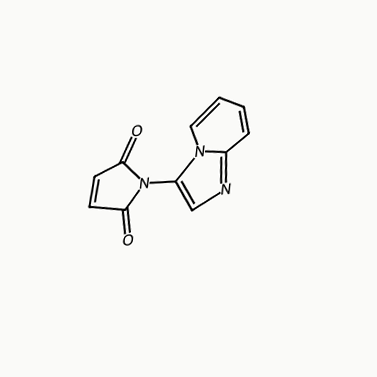 O=C1C=CC(=O)N1c1cnc2ccccn12